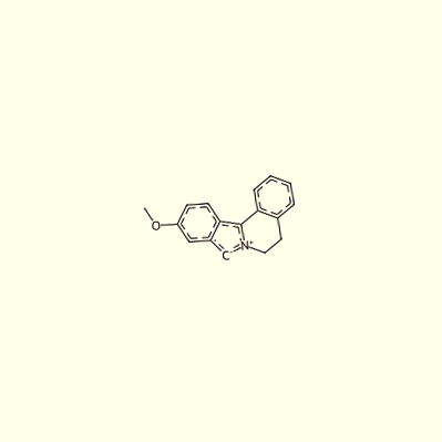 COc1ccc2c3[n+]([cH-]c2c1)CCc1ccccc1-3